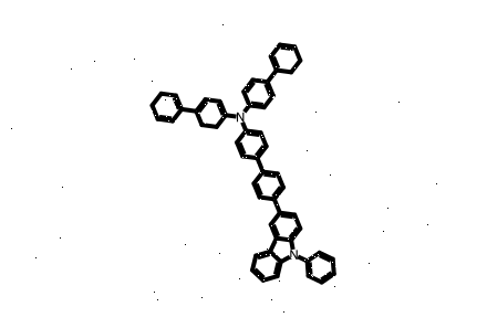 C1=CCCC(c2ccc(N(C3=CC=C(C4=CCCC=C4)CC3)c3ccc(-c4ccc(-c5ccc6c(c5)c5ccccc5n6-c5ccccc5)cc4)cc3)cc2)=C1